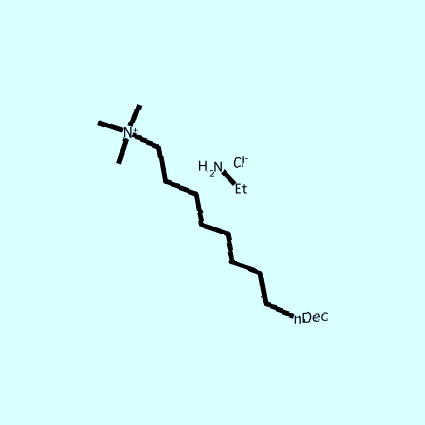 CCCCCCCCCCCCCCCCCC[N+](C)(C)C.CCN.[Cl-]